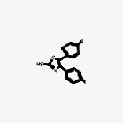 Sc1nc(-c2ccc(I)cc2)c(-c2ccc(I)cc2)o1